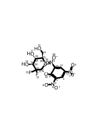 O=[N+]([O-])c1cc([N+](=O)[O-])c(O[C@H]2O[C@H](CO)[C@@H](O)[C@H](O)C2(F)F)c([N+](=O)[O-])c1